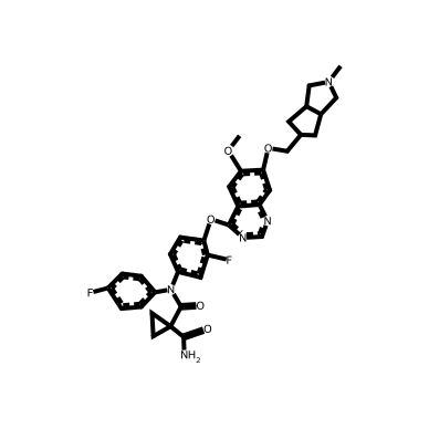 COc1cc2c(Oc3ccc(N(C(=O)C4(C(N)=O)CC4)c4ccc(F)cc4)cc3F)ncnc2cc1OCC1CC2CN(C)CC2C1